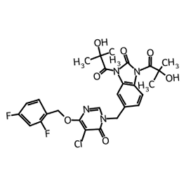 CC(C)(O)C(=O)n1c(=O)n(C(=O)C(C)(C)O)c2cc(Cn3cnc(OCc4ccc(F)cc4F)c(Cl)c3=O)ccc21